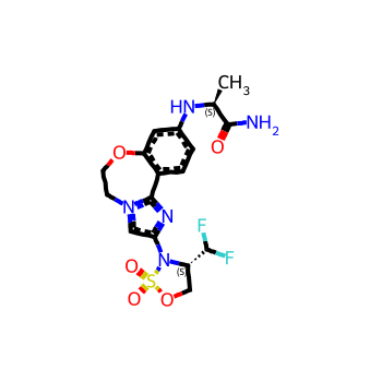 C[C@H](Nc1ccc2c(c1)OCCn1cc(N3[C@H](C(F)F)COS3(=O)=O)nc1-2)C(N)=O